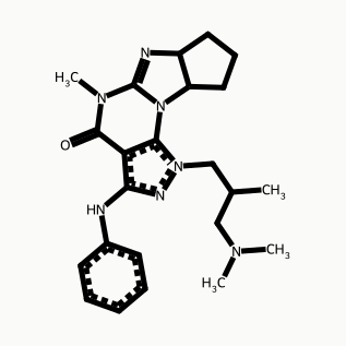 CC(CN(C)C)Cn1nc(Nc2ccccc2)c2c1N1C(=NC3CCCC31)N(C)C2=O